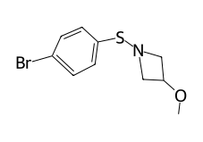 COC1CN(Sc2ccc(Br)cc2)C1